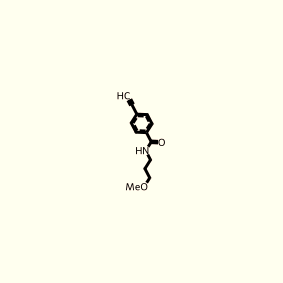 C#Cc1ccc(C(=O)NCCCOC)cc1